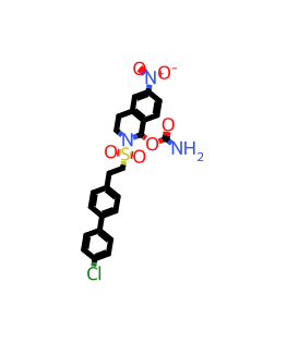 NC(=O)OC1c2ccc([N+](=O)[O-])cc2CCN1S(=O)(=O)CCc1ccc(-c2ccc(Cl)cc2)cc1